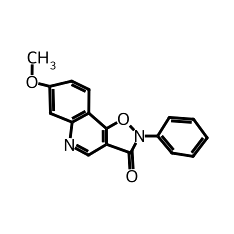 COc1ccc2c(c1)ncc1c(=O)n(-c3ccccc3)oc12